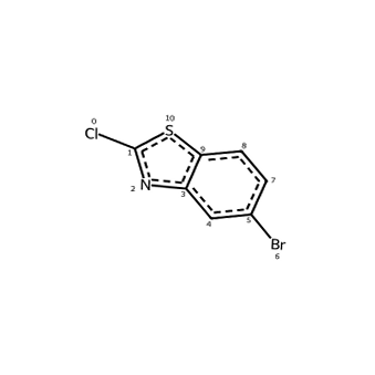 Clc1nc2cc(Br)ccc2s1